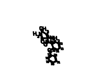 CCCC(N)(C(N)=O)C(=O)c1ccccc1Oc1ccccc1